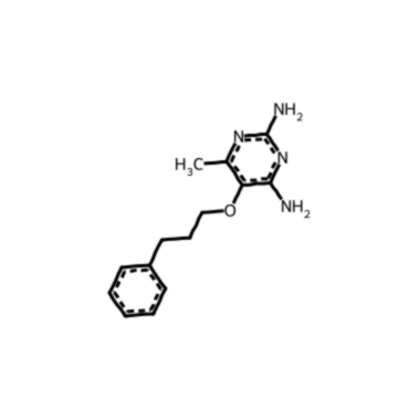 Cc1nc(N)nc(N)c1OCCCc1ccccc1